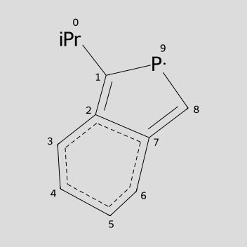 CC(C)C1=c2ccccc2=C[P]1